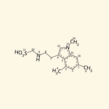 Cc1cc(C)c2c(CCNCS(=O)(=O)O)cn(C)c2c1